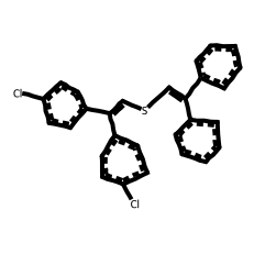 Clc1ccc(C(=CSC=C(c2ccccc2)c2ccccc2)c2ccc(Cl)cc2)cc1